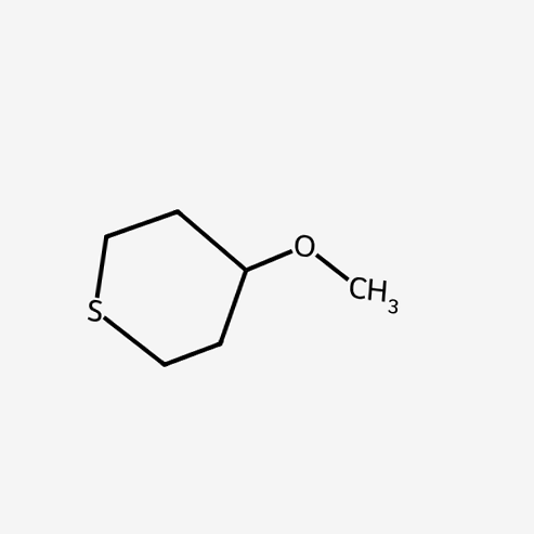 COC1CCSCC1